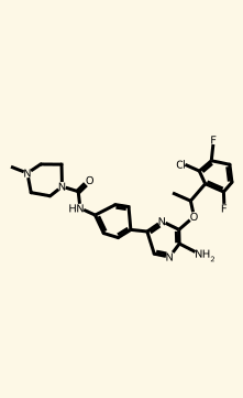 CC(Oc1nc(-c2ccc(NC(=O)N3CCN(C)CC3)cc2)cnc1N)c1c(F)ccc(F)c1Cl